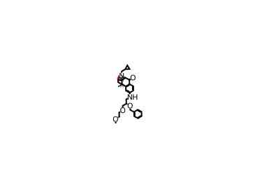 COCCOCC(CNc1ccc2c(c1)[C@]1(C)CCN(CC3CC3)C(C2=O)[C@@H]1C)OCc1ccccc1